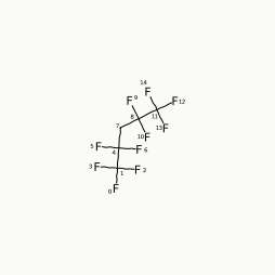 FC(F)(F)C(F)(F)CC(F)(F)C(F)(F)F